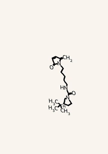 C=C1C=CC(=O)N1CCCCCNC(=O)N1CC[C@H](C(C)(C)C)C1